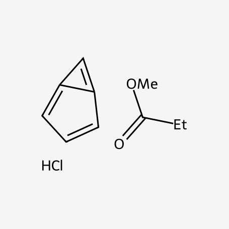 CCC(=O)OC.Cl.c1cc2cc-2c1